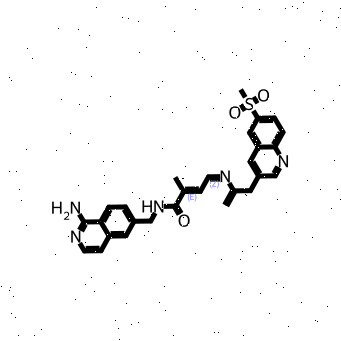 C=C(Cc1cnc2ccc(S(C)(=O)=O)cc2c1)/N=C\C=C(/C)C(=O)NCc1ccc2c(N)nccc2c1